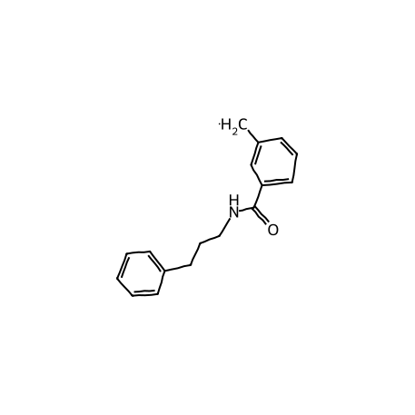 [CH2]c1cccc(C(=O)NCCCc2ccccc2)c1